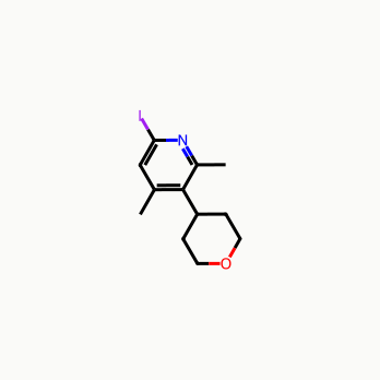 Cc1cc(I)nc(C)c1C1CCOCC1